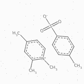 Cc1cc[n+](C)c(C)c1.Cc1ccc(S(=O)(=O)[O-])cc1